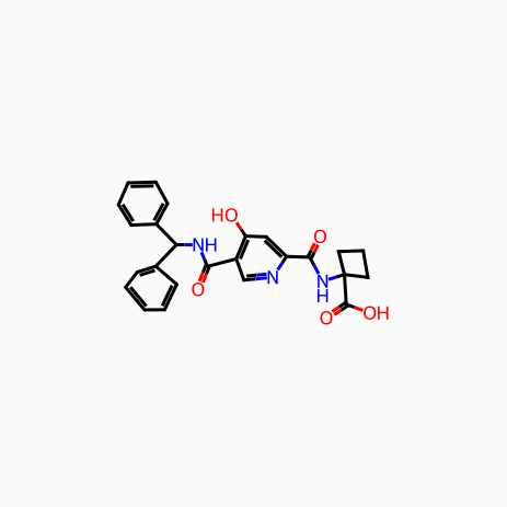 O=C(NC1(C(=O)O)CCC1)c1cc(O)c(C(=O)NC(c2ccccc2)c2ccccc2)cn1